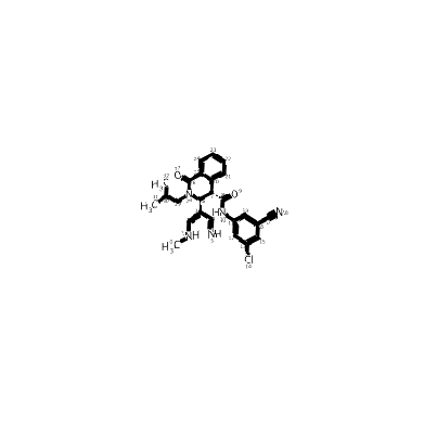 CN/C=C(\C=N)[C@@H]1[C@@H](C(=O)Nc2cc(Cl)cc(C#N)c2)c2ccccc2C(=O)N1CC(C)C